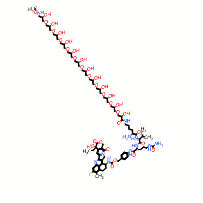 CC[C@@]1(O)C(=O)OCc2c1cc1n(c2=O)Cc2c-1nc1cc(F)c(C)c3c1c2[C@@H](NC(=O)OCc1ccc(NC(=O)[C@H](CCCNC(N)=O)NC(=O)[C@@H](NC(=O)[C@@H](N)CCCCNC(=O)C(O)COCC(O)COCC(O)COCC(O)COCC(O)COCC(O)COCC(O)COCC(O)COCC(O)COCC(O)COCC(O)COCC(O)CNOC)C(C)C)cc1)CC3